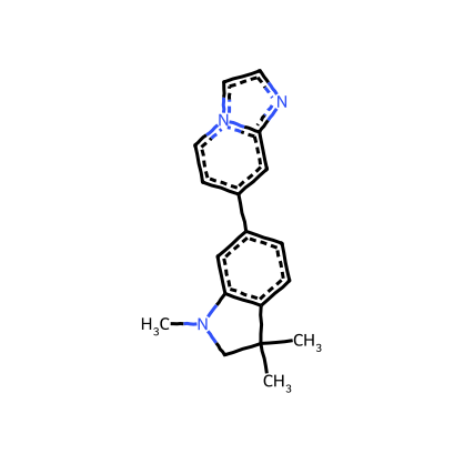 CN1CC(C)(C)c2ccc(-c3ccn4ccnc4c3)cc21